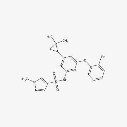 CC(C)c1ccccc1Oc1cc(C2CC2(C)C)nc(NS(=O)(=O)c2cnn(C)c2)n1